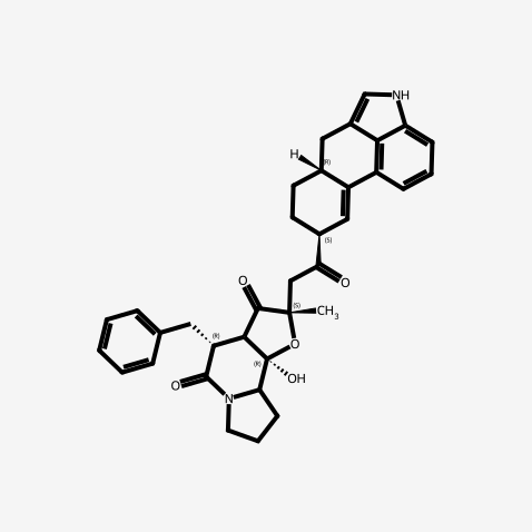 C[C@@]1(CC(=O)[C@@H]2C=C3c4cccc5[nH]cc(c45)C[C@H]3CC2)O[C@]2(O)C(C1=O)[C@@H](Cc1ccccc1)C(=O)N1CCCC12